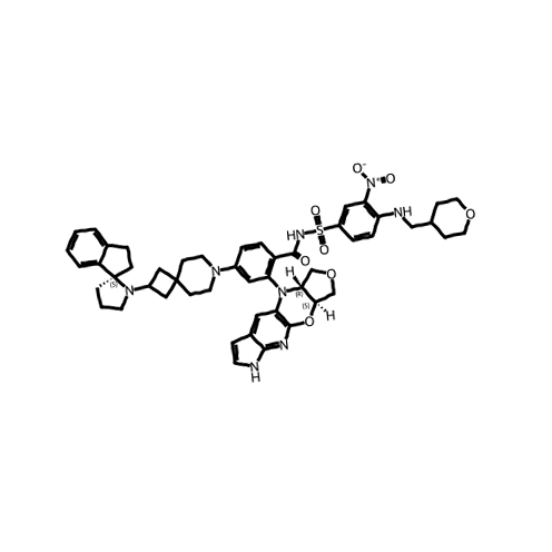 O=C(NS(=O)(=O)c1ccc(NCC2CCOCC2)c([N+](=O)[O-])c1)c1ccc(N2CCC3(CC2)CC(N2CCC[C@]24CCc2ccccc24)C3)cc1N1c2cc3cc[nH]c3nc2O[C@@H]2COC[C@H]21